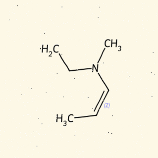 [CH2]CN(C)/C=C\C